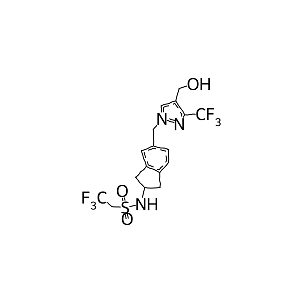 O=S(=O)(CC(F)(F)F)NC1Cc2ccc(Cn3cc(CO)c(C(F)(F)F)n3)cc2C1